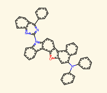 c1ccc(-c2nc(-n3c4ccccc4c4c5oc6cc(N(c7ccccc7)c7ccccc7)c7ccccc7c6c5ccc43)nc3ccccc23)cc1